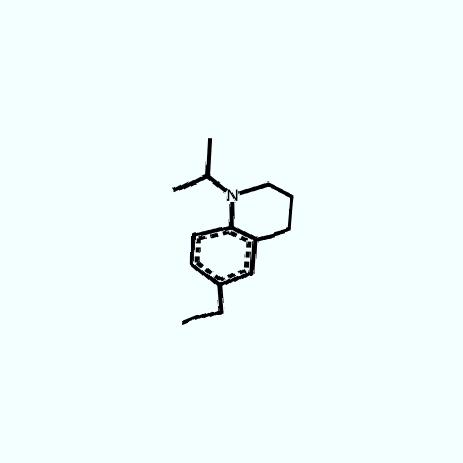 CCc1ccc2c(c1)CCCN2C(C)C